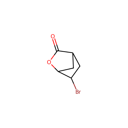 O=C1OC2CC1CC2Br